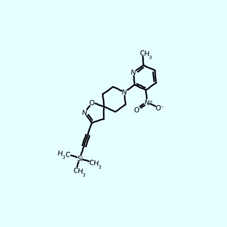 Cc1ccc([N+](=O)[O-])c(N2CCC3(CC2)CC(C#C[Si](C)(C)C)=NO3)n1